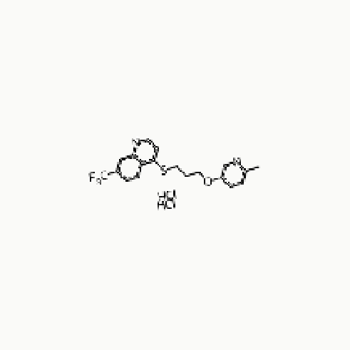 Cc1ccc(OCCCSc2ccnc3cc(C(F)(F)F)ccc23)cn1.Cl.Cl